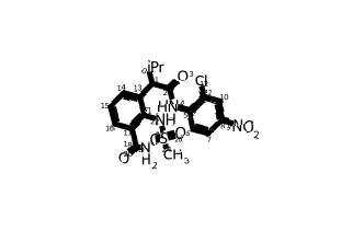 CC(C)C(C(=O)Nc1ccc([N+](=O)[O-])cc1Cl)c1cccc(C(N)=O)c1NS(C)(=O)=O